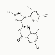 Cc1cc(Cl)cc2c(=O)oc(-c3cc(Br)nn3-c3ncc(Cl)cc3F)nc12